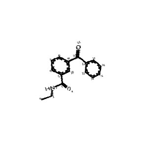 CCNC(=O)c1cccc(C(=O)c2ccccc2)c1